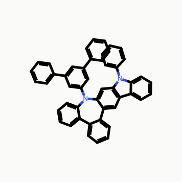 c1ccc(-c2cc(-c3ccccc3)cc(N3c4ccccc4-c4ccccc4-c4cc5c6ccccc6n(-c6ccccc6)c5cc43)c2)cc1